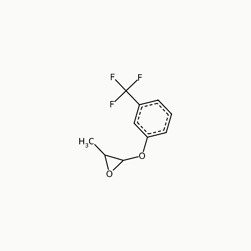 CC1OC1Oc1cccc(C(F)(F)F)c1